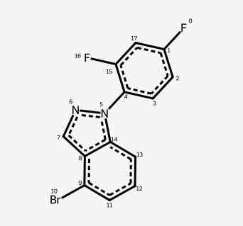 Fc1ccc(-n2ncc3c(Br)cccc32)c(F)c1